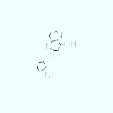 Nc1cccc(COc2cc(O)c3ncccc3n2)c1